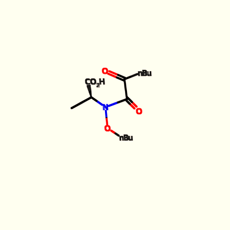 CCCCON(C(=O)C(=O)CCCC)[C@@H](C)C(=O)O